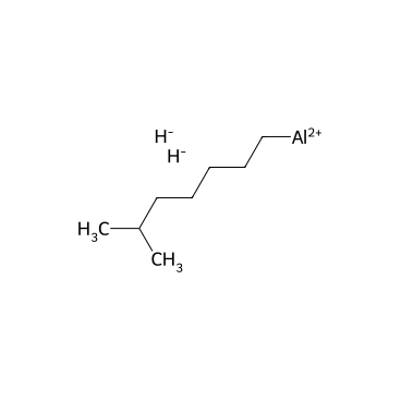 CC(C)CCCC[CH2][Al+2].[H-].[H-]